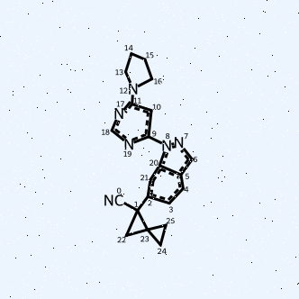 N#CC1(c2ccc3cnn(-c4cc(N5CCCC5)ncn4)c3c2)CC12CC2